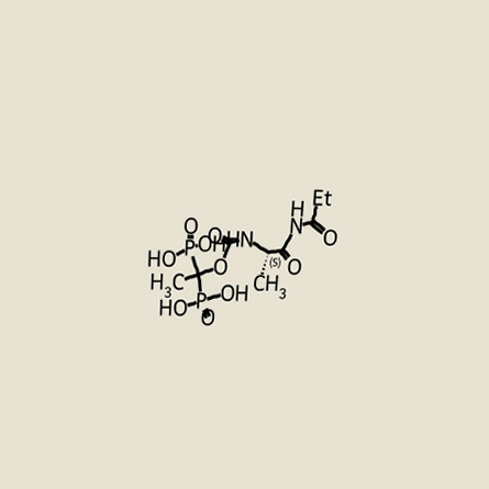 CCC(=O)NC(=O)[C@H](C)NC(=O)OC(C)(P(=O)(O)O)P(=O)(O)O